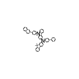 CC1(C)c2ccccc2-c2ccc(N(c3ccc(-c4ccccc4)cc3)c3ccc4c(c3)c3ccccc3n4-c3ccc(-c4ccc5ccccc5c4)cc3)cc21